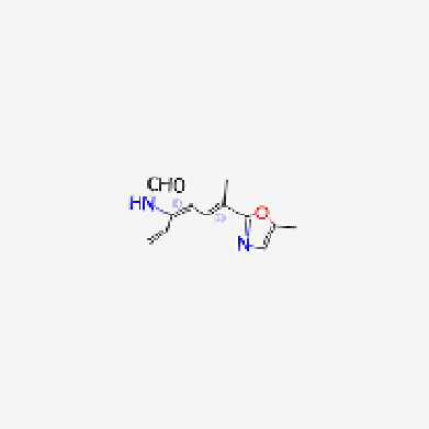 C=C/C(=C\C=C(/C)c1ncc(C)o1)NC=O